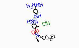 C#CCN(CCC(=O)OCC)C(=O)Oc1ccc2[nH]c(CNc3ccc(C(=N)N)cc3)nc2c1C.Cl